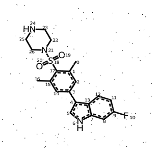 Cc1cc(-c2c[nH]c3cc(F)ccc23)cc(C)c1S(=O)(=O)N1CCNCC1